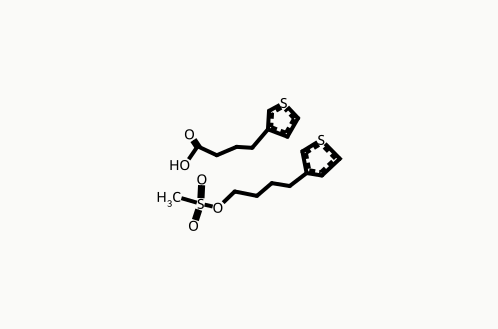 CS(=O)(=O)OCCCCc1ccsc1.O=C(O)CCCc1ccsc1